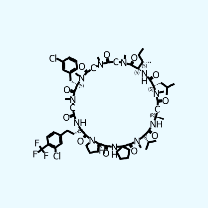 CC[C@H](C)[C@@H]1NC(=O)[C@H](CC(C)C)N(C)C(=O)C[C@@H](C)NC(=O)[C@H](C(C)C)N(C)C(=O)C2(CCCC2)NC(=O)[C@@H]2CCCN2C(=O)[C@H](CCc2ccc(C(F)(F)F)c(Cl)c2)NC(=O)CN(C)C(=O)[C@H](Cc2cccc(Cl)c2)N(C)C(=O)CN(C)C(=O)CN(C)C1=O